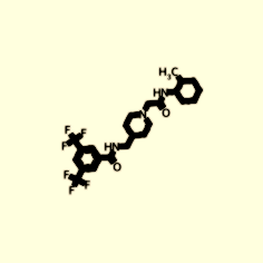 CC1CCCCC1NC(=O)CN1CCC(CNC(=O)c2cc(C(F)(F)F)cc(C(F)(F)F)c2)CC1